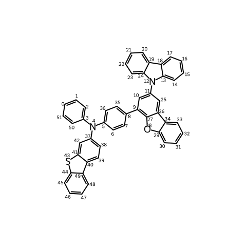 c1ccc(N(c2ccc(-c3cc(-n4c5ccccc5c5ccccc54)cc4c3oc3ccccc34)cc2)c2ccc3c(c2)sc2ccccc23)cc1